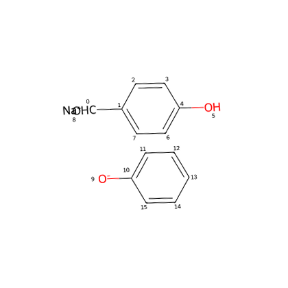 O=Cc1ccc(O)cc1.[Na+].[O-]c1ccccc1